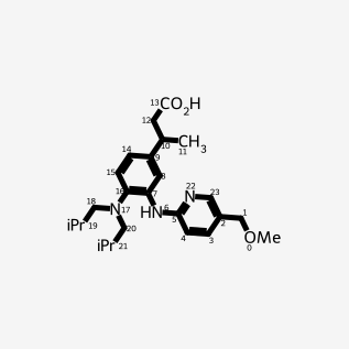 COCc1ccc(Nc2cc(C(C)CC(=O)O)ccc2N(CC(C)C)CC(C)C)nc1